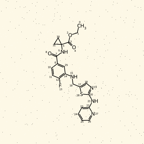 CCOC(=O)C1(NC(=O)c2ccc(F)c(NCc3cnc(Nc4ccccn4)s3)c2)CC1